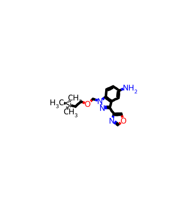 C[Si](C)(C)CCOCn1nc(-c2cocn2)c2cc(N)ccc21